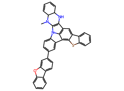 CN1c2c(c3cc4c5ccccc5sc4c4c5cc(-c6ccc7c(c6)oc6ccccc67)ccc5n2c34)NC2C=CC=CC21